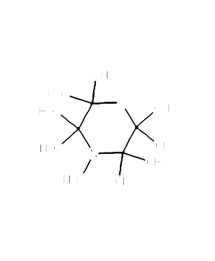 CN1C(C)(C)C(C)(C)SC(C)(C)C1(C)C